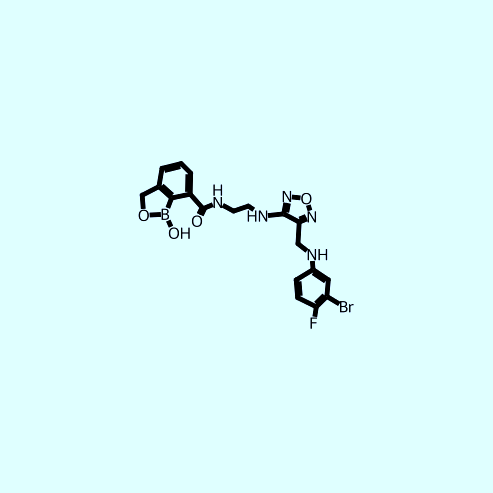 O=C(NCCNc1nonc1CNc1ccc(F)c(Br)c1)c1cccc2c1B(O)OC2